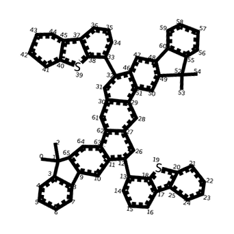 CC1(C)c2ccccc2-c2cc3c(-c4cccc5c4sc4ccccc45)cc4cc5c(cc(-c6cccc7c6sc6ccccc67)c6cc7c(cc65)C(C)(C)c5ccccc5-7)cc4c3cc21